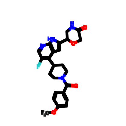 O=C1COC(c2cc3c(C4CCN(C(=O)c5ccc(OC(F)(F)F)cc5)CC4)c(F)cnc3[nH]2)CN1